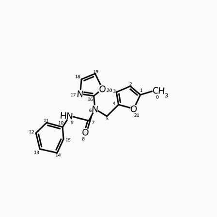 Cc1ccc(CN(C(=O)Nc2ccccc2)c2ncco2)o1